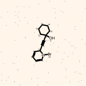 OC1(C#CC2C=CC=CN2Br)CCCCC1